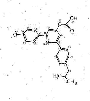 CC(C)Cc1ccc(-c2cc(OC(=O)O)cc(-c3ccc(Cl)cc3)n2)cc1